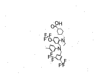 CCN(C[C@H]1CC[C@H](C(=O)O)CC1)c1ccc(OC(F)(F)F)cc1CN(Cc1cc(C(F)(F)F)cc(C(F)(F)F)c1)c1ccc(C)cc1